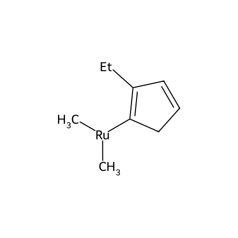 CCC1=[C]([Ru]([CH3])[CH3])CC=C1